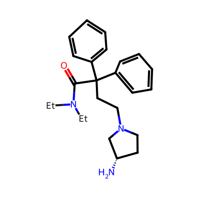 CCN(CC)C(=O)C(CCN1CC[C@H](N)C1)(c1ccccc1)c1ccccc1